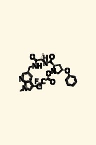 C[C@H](NC(=O)[C@H]1C[C@H](Oc2ccccc2)CN1OC(=O)C(F)(F)F)C(=O)NCc1cnc2c(c1)c(Cl)cn2C